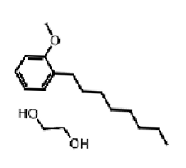 CCCCCCCCc1ccccc1OC.OCCO